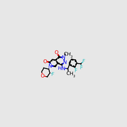 CC(Nc1nn(C)c(=O)c2cc(=O)n([C@H]3CCOC[C@H]3F)cc12)c1cccc(C(F)F)c1F